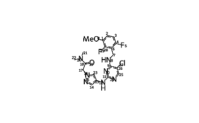 COc1ccc(F)c(CNc2nc(Nc3cnn(CC(=O)N(C)C)c3)ncc2Cl)c1F